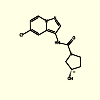 O=C(Nc1cnn2ccc(Cl)cc12)N1CC[C@H](O)C1